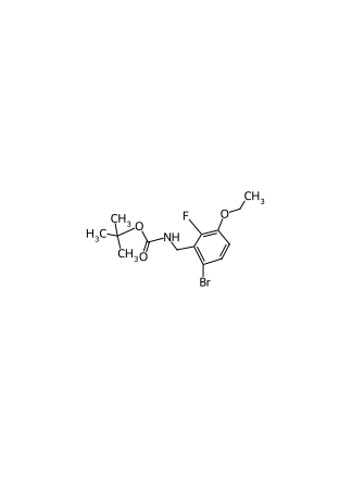 CCOc1ccc(Br)c(CNC(=O)OC(C)(C)C)c1F